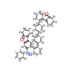 c1ccc(-c2nc3ccccc3c3c(-c4cccc(-c5ccc(-c6cccc7oc8ccccc8c67)cc5)c4)c4c(cc23)oc2ccccc24)cc1